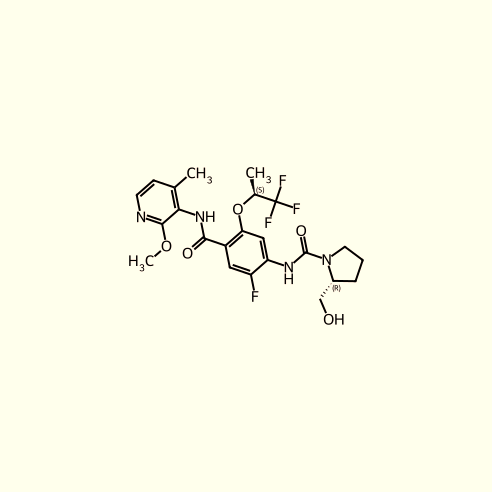 COc1nccc(C)c1NC(=O)c1cc(F)c(NC(=O)N2CCC[C@@H]2CO)cc1O[C@@H](C)C(F)(F)F